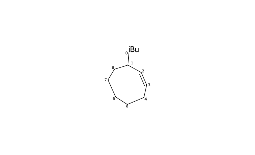 [CH2]C(CC)C1C=CCCCCC1